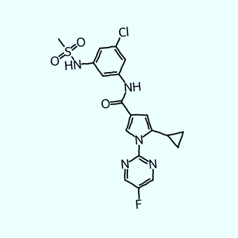 CS(=O)(=O)Nc1cc(Cl)cc(NC(=O)c2cc(C3CC3)n(-c3ncc(F)cn3)c2)c1